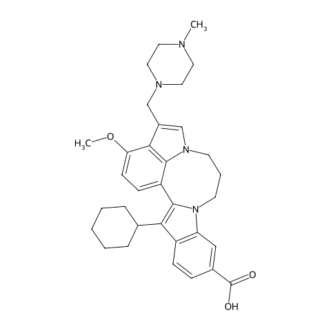 COc1ccc2c3c1c(CN1CCN(C)CC1)cn3CCCn1c-2c(C2CCCCC2)c2ccc(C(=O)O)cc21